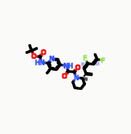 C=C(/C=C(F)\C=C(/C)F)[C@@H]1CCCCN1C(=O)C(=O)Nc1cnc(NC(=O)OC(C)(C)C)c(C)c1